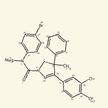 CSN(C(=O)N1CC(C)(c2ccccc2)C(c2ccc(C(F)(F)F)c(Cl)c2)=N1)c1ccc(Br)cc1